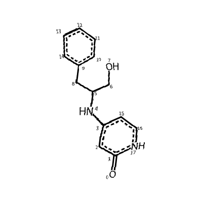 O=c1cc(NC(CO)Cc2ccccc2)cc[nH]1